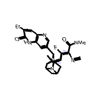 C=N/C(C(=O)NC)=C(F)\C=C(/C)N1C2CC1CN(Cc1cnc3cc(CC)c(=O)[nH]c3c1)C2